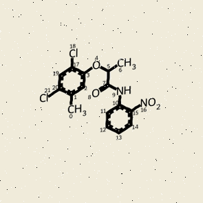 Cc1cc(OC(C)C(=O)Nc2ccccc2[N+](=O)[O-])c(Cl)cc1Cl